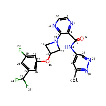 CCc1cc(NC(=O)c2nccnc2N2CC(Oc3cc(F)cc(C(F)F)c3)C2)cnn1